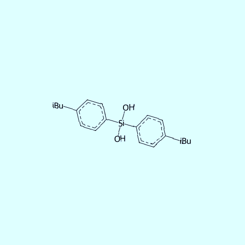 CCC(C)c1ccc([Si](O)(O)c2ccc(C(C)CC)cc2)cc1